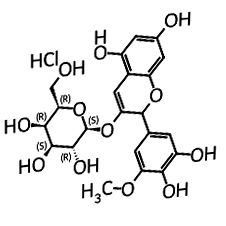 COc1cc(C2Oc3cc(O)cc(O)c3C=C2O[C@@H]2O[C@H](CO)[C@H](O)[C@H](O)[C@H]2O)cc(O)c1O.Cl